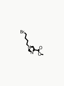 COC(=O)c1cn(CCCCBr)cn1